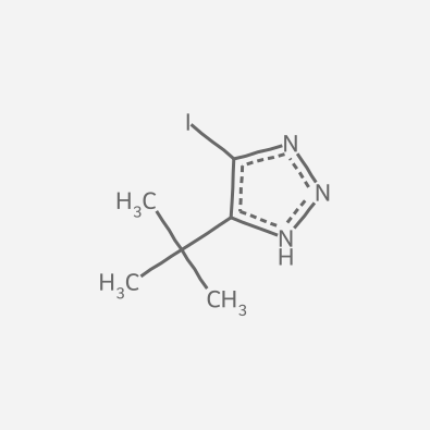 CC(C)(C)c1[nH]nnc1I